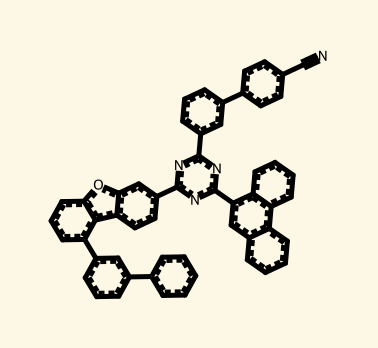 N#Cc1ccc(-c2cccc(-c3nc(-c4ccc5c(c4)oc4cccc(-c6cccc(-c7ccccc7)c6)c45)nc(-c4cc5ccccc5c5ccccc45)n3)c2)cc1